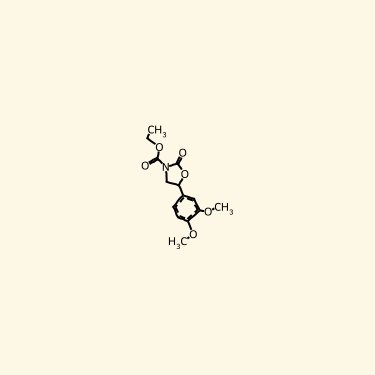 CCOC(=O)N1CC(c2ccc(OC)c(OC)c2)OC1=O